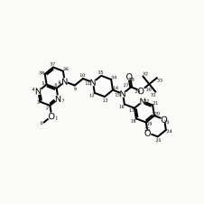 COc1cnc2c(n1)N(CCN1CCC(N(Cc3cc4c(cn3)OCCO4)C(=O)OC(C)(C)C)CC1)CC=C2